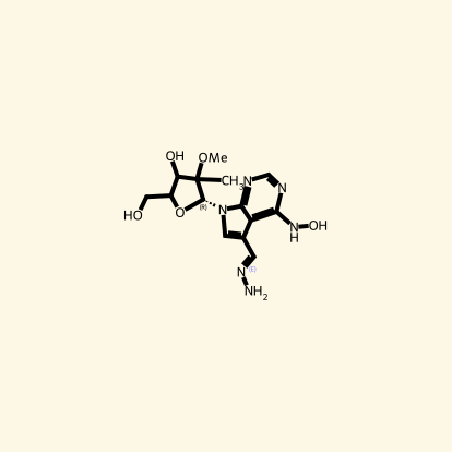 COC1(C)C(O)C(CO)O[C@H]1n1cc(/C=N/N)c2c(NO)ncnc21